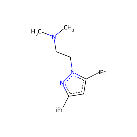 CC(C)c1cc(C(C)C)n(CCN(C)C)n1